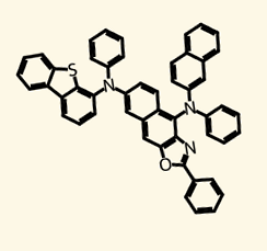 c1ccc(-c2nc3c(N(c4ccccc4)c4ccc5ccccc5c4)c4ccc(N(c5ccccc5)c5cccc6c5sc5ccccc56)cc4cc3o2)cc1